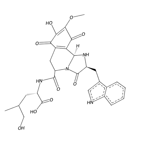 COC1=C(O)C(=O)C2=C(C1=O)[C@H]1N[C@@H](Cc3c[nH]c4ccccc34)C(=O)N1C(C(=O)N[C@@H](CC(C)CO)C(=O)O)C2